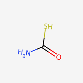 NC(=O)S